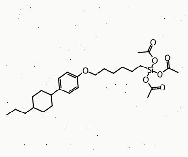 CCCC1CCC(c2ccc(OCCCCCC[Si](OC(C)=O)(OC(C)=O)OC(C)=O)cc2)CC1